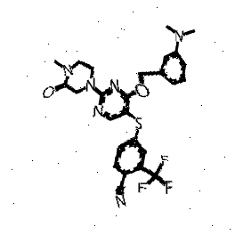 CN1CCN(c2ncc(Sc3ccc(C#N)c(C(F)(F)F)c3)c(OCc3cccc(N(C)C)c3)n2)CC1=O